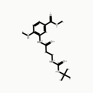 CNc1ccc(C(=O)OC)cc1NC(=O)CCNC(=O)OC(C)(C)C